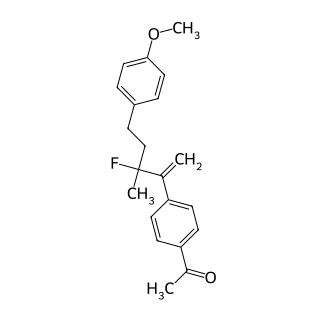 C=C(c1ccc(C(C)=O)cc1)C(C)(F)CCc1ccc(OC)cc1